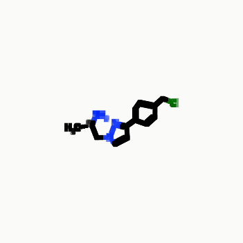 C[C@H](N)Cn1ccc(-c2ccc(CCl)cc2)n1